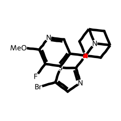 COc1ncc(CN2C3CC2CN(c2ncc(Br)s2)C3)cc1F